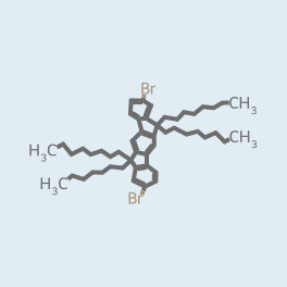 CCCCCCCCC1(CCCCCCC)c2cc(Br)ccc2-c2cc3c(cc21)-c1ccc(Br)cc1C3(CCCCCCCC)CCCCCCCC